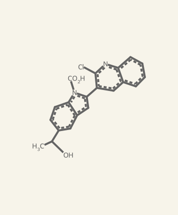 CC(O)c1ccc2c(c1)cc(-c1cc3ccccc3nc1Cl)n2C(=O)O